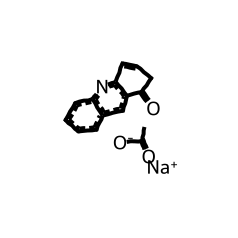 CC(=O)[O-].O=C1CC=Cc2nc3ccccc3cc21.[Na+]